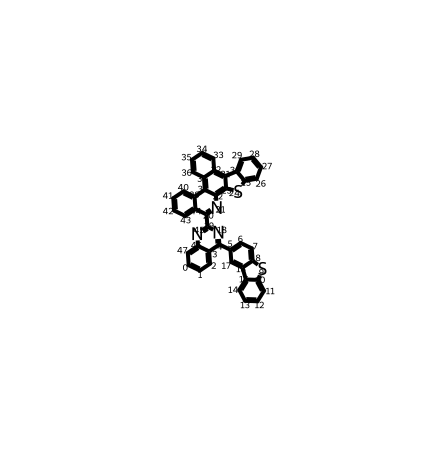 c1ccc2c(-c3ccc4sc5ccccc5c4c3)nc(-c3nc4c5sc6ccccc6c5c5ccccc5c4c4ccccc34)nc2c1